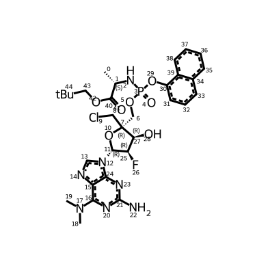 C[C@H](NP(=O)(OC[C@@]1(CCl)O[C@@H](n2cnc3c(N(C)C)nc(N)nc32)[C@H](F)[C@@H]1O)Oc1cccc2ccccc12)C(=O)OCC(C)(C)C